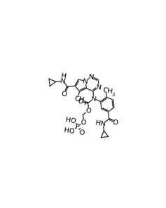 Cc1ccc(C(=O)NC2CC2)cc1N(C(=O)OCOP(=O)(O)O)c1ncnn2cc(C(=O)NC3CC3)c(C)c12